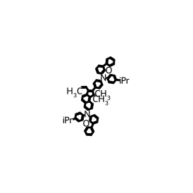 C/C=C\C1=C(c2ccc(N(c3ccc(C(C)C)cc3)c3cccc4c3oc3ccccc34)cc2)C(C)(C)c2c1ccc1cc(N(c3ccc(C(C)C)cc3)c3cccc4c3oc3ccccc34)ccc21